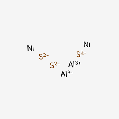 [Al+3].[Al+3].[Ni].[Ni].[S-2].[S-2].[S-2]